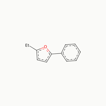 CCc1ccc(-c2ccccc2)o1